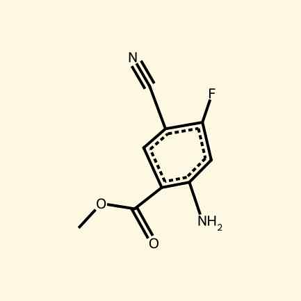 COC(=O)c1cc(C#N)c(F)cc1N